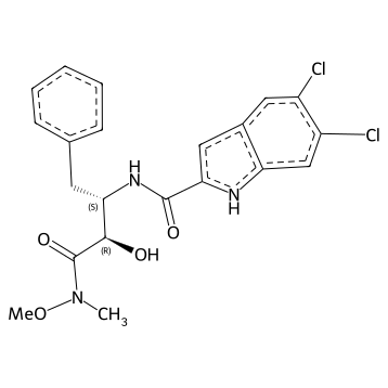 CON(C)C(=O)[C@H](O)[C@H](Cc1ccccc1)NC(=O)c1cc2cc(Cl)c(Cl)cc2[nH]1